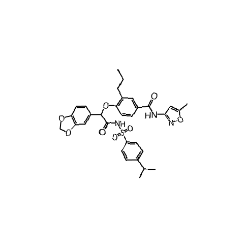 CCCc1cc(C(=O)Nc2cc(C)on2)ccc1OC(C(=O)NS(=O)(=O)c1ccc(C(C)C)cc1)c1ccc2c(c1)OCO2